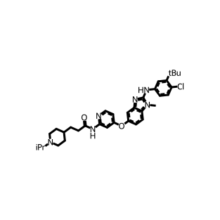 CC(C)N1CCC(CCC(=O)Nc2cc(Oc3ccc4c(c3)nc(Nc3ccc(Cl)c(C(C)(C)C)c3)n4C)ccn2)CC1